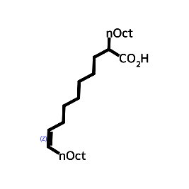 CCCCCCCC/C=C\CCCCCCC(CCCCCCCC)C(=O)O